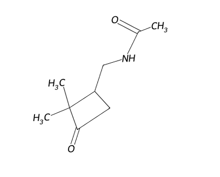 CC(=O)NCC1CC(=O)C1(C)C